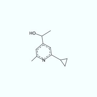 Cc1cc(C(C)O)cc(C2CC2)n1